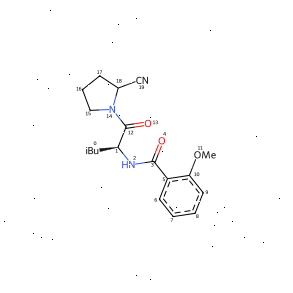 CCC(C)[C@H](NC(=O)c1ccccc1OC)C(=O)N1CCCC1C#N